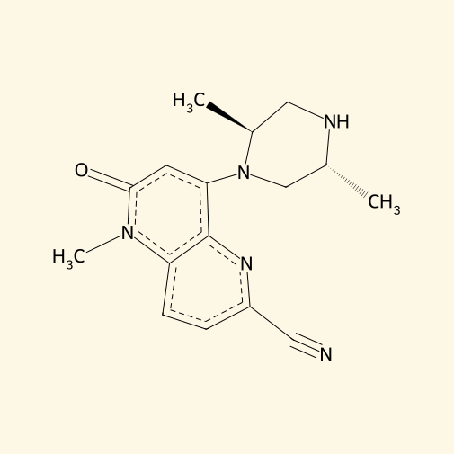 C[C@@H]1CN(c2cc(=O)n(C)c3ccc(C#N)nc23)[C@@H](C)CN1